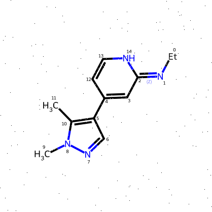 CC/N=c1/cc(-c2cnn(C)c2C)cc[nH]1